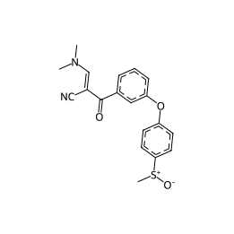 CN(C)C=C(C#N)C(=O)c1cccc(Oc2ccc([S+](C)[O-])cc2)c1